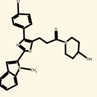 Cn1c(-c2nc(-c3ccc(Cl)cc3)c(CCC(=O)N3CCC(O)CC3)o2)cc2ccccc21